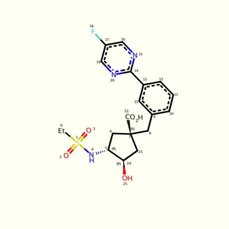 CCS(=O)(=O)N[C@@H]1C[C@@](Cc2cccc(-c3ncc(F)cn3)c2)(C(=O)O)C[C@H]1O